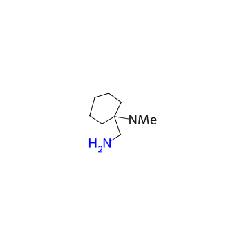 CNC1(CN)CCCCC1